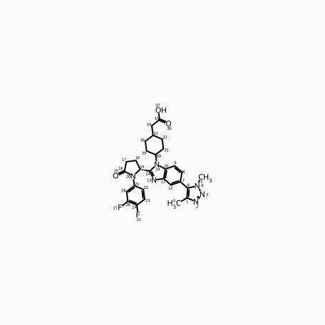 Cc1nnn(C)c1-c1ccc2c(c1)nc([C@@H]1CCC(=O)N1c1ccc(F)c(F)c1)n2C1CCC(CC(=O)O)CC1